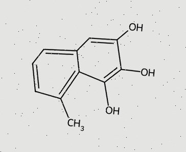 Cc1cccc2cc(O)c(O)c(O)c12